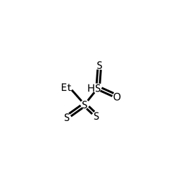 CCS(=S)(=S)[SH](=O)=S